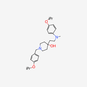 CC(C)Oc1ccc(CN2CCC(O)(CCN(C)c3ccc(OC(C)C)cc3)CC2)cc1